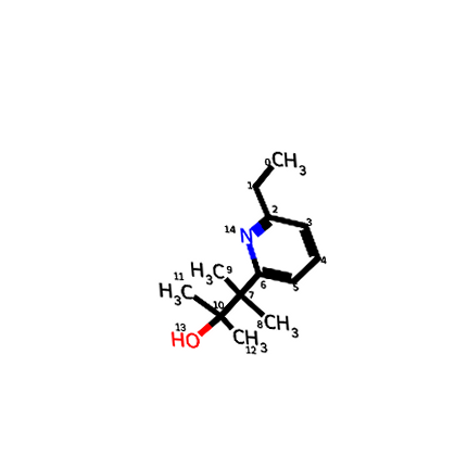 CCc1cccc(C(C)(C)C(C)(C)O)n1